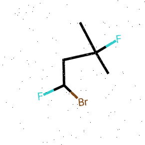 CC(C)(F)CC(F)Br